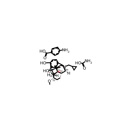 CO[C@@]12CC[C@@]3(C[C@@H]1[C@](C)(O)C(C)(C)C)[C@H]1Cc4ccc(O)c5c4[C@@]3(CCN1CC1CC1)[C@H]2O5.NC(=O)O.Nc1ccc(C(=O)O)cc1